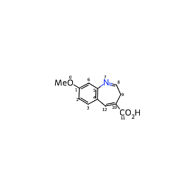 COc1ccc2c(c1)N=CCC(C(=O)O)=C2